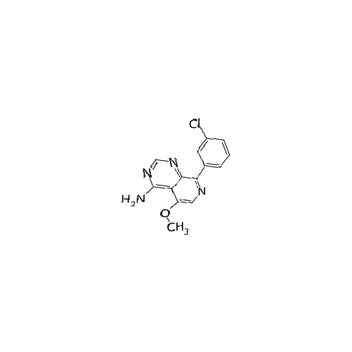 COc1cnc(-c2cccc(Cl)c2)c2ncnc(N)c12